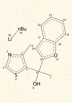 Cc1ncsc1C(C)(O)c1cc2ccccc2o1.[Li][CH2]CCC